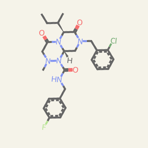 CCC(C)[C@H]1C(=O)N(Cc2ccccc2Cl)C[C@H]2N1C(=O)CN(C)N2C(=O)NCc1ccc(F)cc1